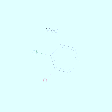 COc1cccc([O])c1Cl